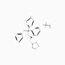 O=C(NC1CCCC1)NC(Cc1ccccc1)(c1cccc(OC(F)(F)C(F)F)c1)c1ccc(Cl)cn1